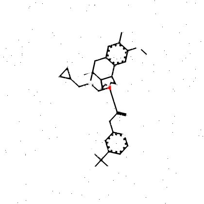 COc1cc2c(cc1C)C[C@H]1N(CC3CC3)CC[C@@]23CCN(C(=O)Cc2cc(C(F)(F)F)ccn2)CC[C@@]13O